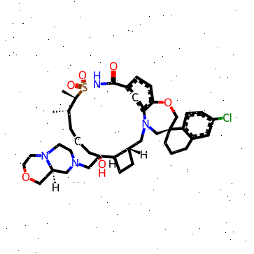 C[C@@H]1[C@@H](C)CCC[C@@](O)(CN2CCN3CCOC[C@@H]3C2)[C@@H]2CC[C@H]2CN2C[C@@]3(CCCc4cc(Cl)ccc43)COc3ccc(cc32)C(=O)NS1(=O)=O